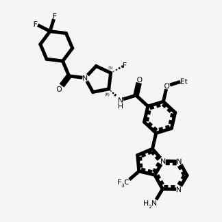 CCOc1ccc(-c2cc(C(F)(F)F)c3c(N)ncnn23)cc1C(=O)N[C@@H]1CN(C(=O)C2CCC(F)(F)CC2)C[C@@H]1F